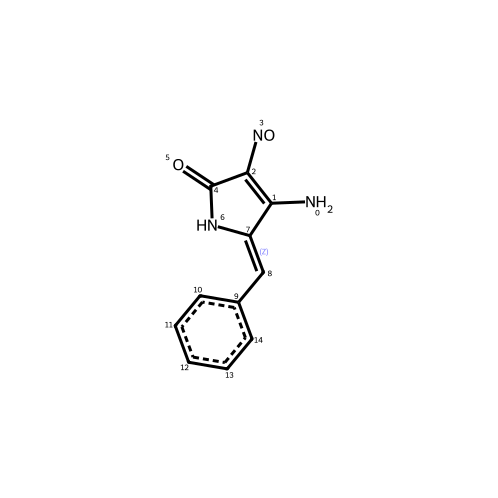 NC1=C(N=O)C(=O)N/C1=C\c1ccccc1